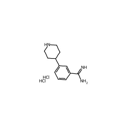 Cl.Cl.N=C(N)c1cccc(C2CCNCC2)c1